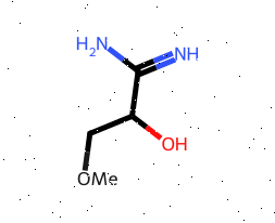 COCC(O)C(=N)N